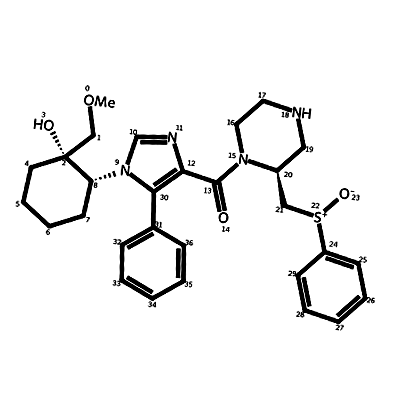 COC[C@]1(O)CCCC[C@H]1n1cnc(C(=O)N2CCNC[C@H]2C[S+]([O-])c2ccccc2)c1-c1ccccc1